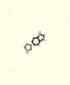 C1CCNC1.c1ccc2[nH]cnc2c1